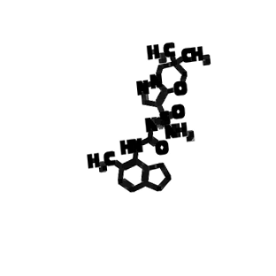 Cc1ccc2c(c1NC(=O)N=[S@](N)(=O)c1cnn3c1OCC(C)(C)C3)CCC2